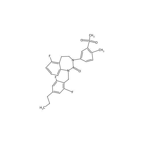 CCCc1cc(F)c(CN2C(=O)N(c3ccc(C)c(S(C)(=O)=O)c3)CCc3c(F)cccc32)c(F)c1